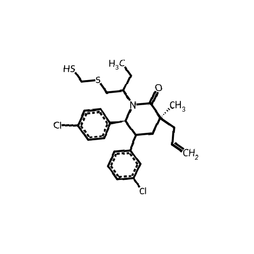 C=CC[C@@]1(C)CC(c2cccc(Cl)c2)[C@@H](c2ccc(Cl)cc2)N(C(CC)CSCS)C1=O